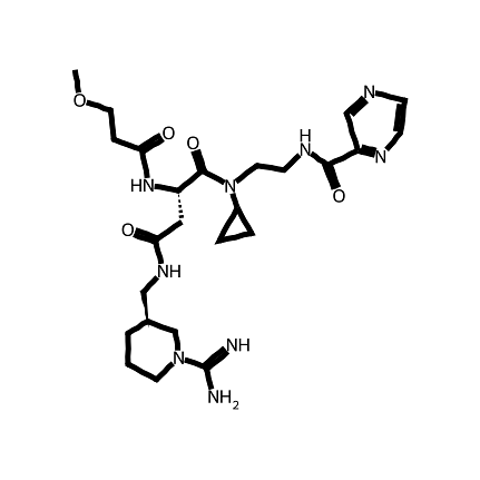 COCCC(=O)N[C@@H](CC(=O)NC[C@@H]1CCCN(C(=N)N)C1)C(=O)N(CCNC(=O)c1cnccn1)C1CC1